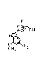 COc1nc(N)nc2c1ncn2[C@H]1C[C@H](F)[C@@H](CO)O1